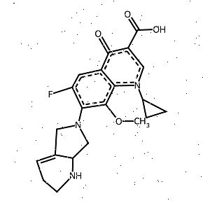 COc1c(N2CC3=CCCNC3C2)c(F)cc2c(=O)c(C(=O)O)cn(C3CC3)c12